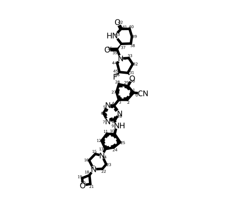 N#Cc1cc(-c2ncnc(Nc3ccc(N4CCN(C5COC5)CC4)cc3)n2)ccc1O[C@H]1CCN(C(=O)[C@@H]2CCCC(=O)N2)C[C@@H]1F